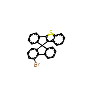 Brc1cccc2c1-c1ccccc1C21c2ccccc2-c2sc3ccccc3c21